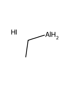 C[CH2][AlH2].I